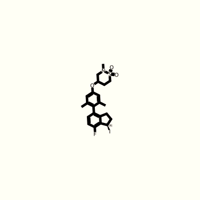 Cc1cc(OC2CCS(=O)(=O)N(C)C2)cc(C)c1-c1ccc(F)c2c1CC[C@H]2I